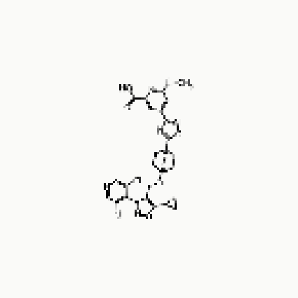 COc1cc(-c2noc(C34CCC(OCc5c(-c6c(Cl)cncc6Cl)noc5C5CC5)(CC3)CC4)n2)cc(C(=O)O)n1